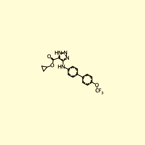 O=C(OC1CC1)c1[nH]nnc1Nc1ccc(-c2ccc(OC(F)(F)F)cc2)cc1